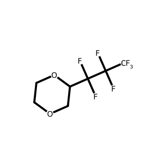 FC(F)(F)C(F)(F)C(F)(F)C1COCCO1